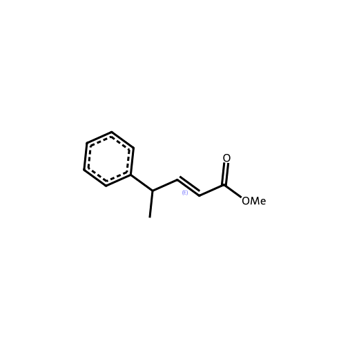 COC(=O)/C=C/C(C)c1ccccc1